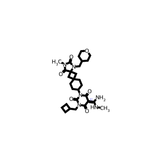 CN/C(N)=C1\C(=O)N(CC2CCC2)C(=O)N(C2CCC3(CC2)CC2(C3)C(=O)N(C)C(=O)N2CC2CCOCC2)C1=O